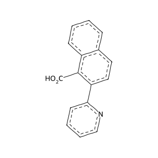 O=C(O)c1c(-c2ccccn2)ccc2ccccc12